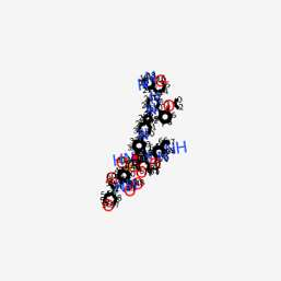 CC(C)Oc1ccccc1[C@@H]1CN([C@H]2CCOc3ncncc32)CCN1C1CC2(CCN(c3ccc(C(=O)NS(=O)(=O)c4cc5c(c([N+](=O)[O-])c4)N[C@H](C4CCOCC4)CO5)c(N4c5cc6cc[nH]c6nc5O[C@H]5COCC[C@@H]54)c3)CC2)C1